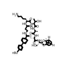 CCCCc1ccc(-c2ccc(C(=O)NCCC(=O)N[C@@H](CCCCN)C(=O)N[C@H](C(=O)N[C@@H](C)C(=O)N[C@@H](C)C(=O)N[C@@H](CO)B3OC4C[C@@H]5C[C@@H](C5(C)C)[C@]4(C)O3)C(C)O)cc2)cc1